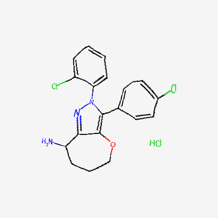 Cl.NC1CCCOc2c1nn(-c1ccccc1Cl)c2-c1ccc(Cl)cc1